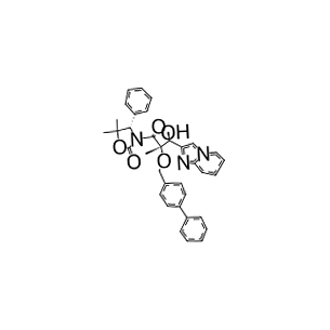 CC1(C)OC(=O)N(C(=O)[C@@](C)(OCc2ccc(-c3ccccc3)cc2)[C@@H](O)c2cn3ccccc3n2)[C@H]1c1ccccc1